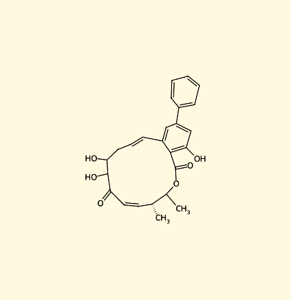 CC1OC(=O)c2c(O)cc(-c3ccccc3)cc2/C=C/CC(O)C(O)C(=O)/C=C\[C@H]1C